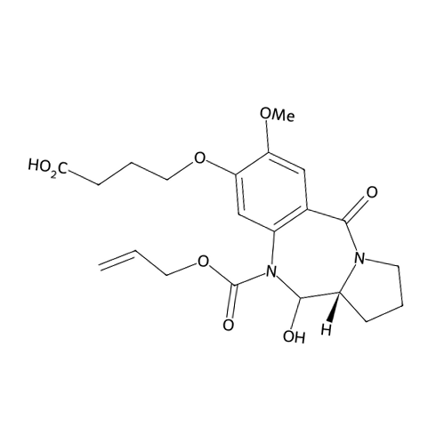 C=CCOC(=O)N1c2cc(OCCCC(=O)O)c(OC)cc2C(=O)N2CCC[C@@H]2C1O